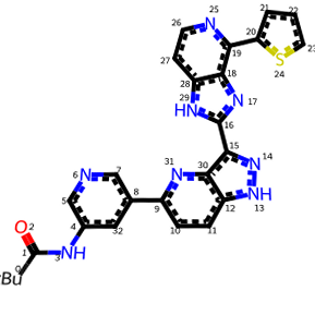 CC(C)(C)C(=O)Nc1cncc(-c2ccc3[nH]nc(-c4nc5c(-c6cccs6)nccc5[nH]4)c3n2)c1